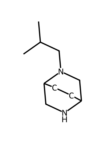 CC(C)CN1CC2CCC1CN2